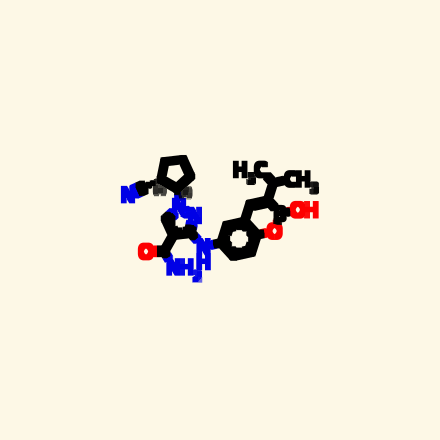 CC(C)C1=Cc2cc(Nc3nn([C@@H]4CCC[C@H]4C#N)cc3C(N)=O)ccc2OB1O